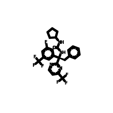 O=C(NC1CCCC1)N[C@@](Cc1ccccc1)(c1cc(F)cc(C(F)(F)F)c1)c1nccc(C(F)(F)F)n1